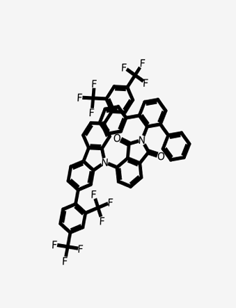 O=C1c2cccc(-n3c4cc(-c5ccc(C(F)(F)F)cc5C(F)(F)F)ccc4c4ccc(-c5ccc(C(F)(F)F)cc5C(F)(F)F)cc43)c2C(=O)N1c1c(-c2ccccc2)cccc1-c1ccccc1